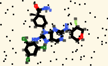 C[C@]1(C(N)=O)CC[C@H](n2c(Nc3c(Cl)cc(Cl)cc3Cl)nc3cnc(N[C@H]4CCOC[C@H]4F)nc32)CC1